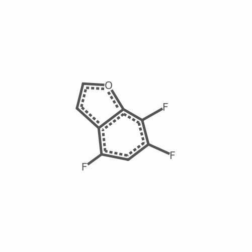 Fc1cc(F)c2ccoc2c1F